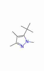 Cc1nn(C)c(C(C)(C)C)c1C